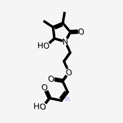 CC1=C(C)C(O)N(CCOC(=O)/C=C\C(=O)O)C1=O